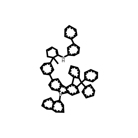 CC1(c2cccc(-c3ccc4c(c3)c3c5c(ccc3n4-c3cccc4ccccc34)C(c3ccccc3)(c3ccccc3)c3ccccc3-5)c2)CC=CC=C1Nc1cccc(-c2ccccc2)c1